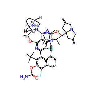 C=C1CN2CC(=C)CC2(COc2nc3c4c(nc(-c5c(C(C)(C)C)c(OC(N)=O)c(F)c6cccc(C#C[Si](C(C)C)(C(C)C)C(C)C)c56)c(F)c4n2)O[C@@H](C)[C@@H]2[C@@H]4CC[C@H](CN32)N4)C1